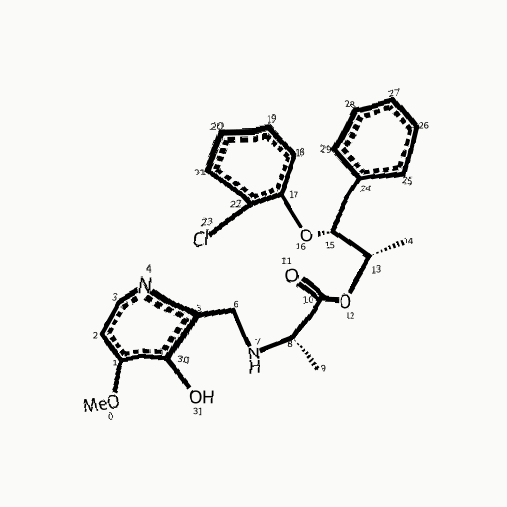 COc1ccnc(CN[C@@H](C)C(=O)O[C@@H](C)[C@H](Oc2ccccc2Cl)c2ccccc2)c1O